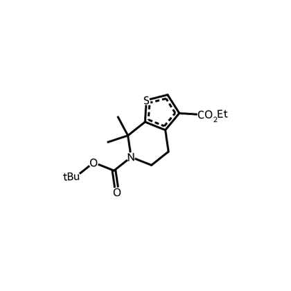 CCOC(=O)c1csc2c1CCN(C(=O)OC(C)(C)C)C2(C)C